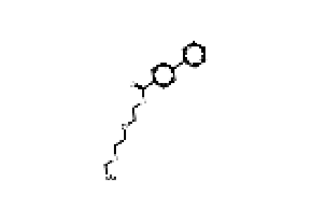 CCC(C)COCCOCCOC(=O)c1ccc(-c2ccccc2)cc1